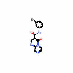 CCc1cccc(NC(=O)c2cnc3cnccn3c2=O)c1